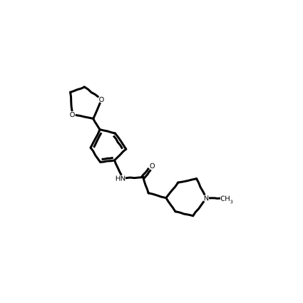 CN1CCC(CC(=O)Nc2ccc(C3OCCO3)cc2)CC1